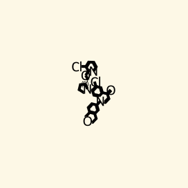 O=c1ccn(-c2ccc3c(c2)CCOC3)c2cc(N3CCC[C@@H]3COc3ncccc3Cl)c(Cl)cc12